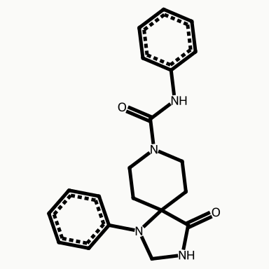 O=C(Nc1ccccc1)N1CCC2(CC1)C(=O)NCN2c1ccccc1